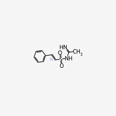 CC(=N)NS(=O)(=O)/C=C/c1ccccc1